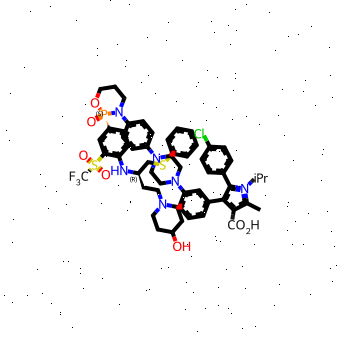 Cc1c(C(=O)O)c(-c2cccc(N3CCN(c4ccc(N5CCCO[P@@]5(=O)c5ccc(N[C@H](CCN6CCC(O)CC6)CSc6ccccc6)c(S(=O)(=O)C(F)(F)F)c5)cc4)CC3)c2)c(-c2ccc(Cl)cc2)n1C(C)C